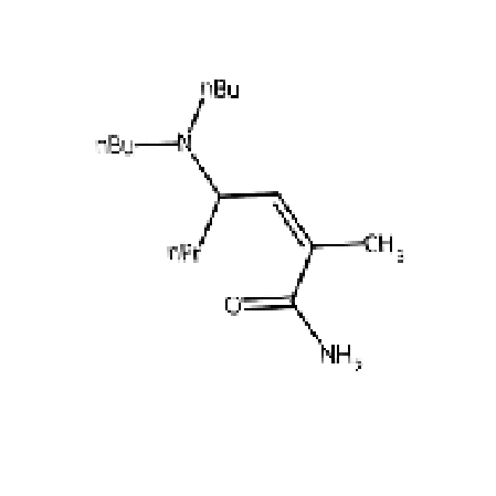 CCCCN(CCCC)C(C=C(C)C(N)=O)CCC